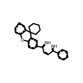 N=C(/C=C\C(=N)c1ccc2c(c1)C1(CCCCC1)c1ccccc1O2)c1ccccc1